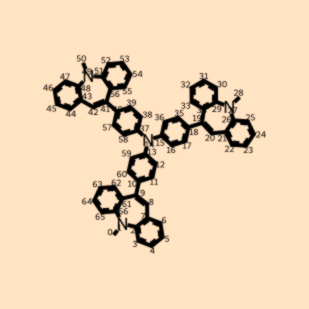 CN1c2ccccc2C=C(c2ccc(N(c3ccc(C4=Cc5ccccc5N(C)c5ccccc54)cc3)c3ccc(C4=Cc5ccccc5N(C)c5ccccc54)cc3)cc2)c2ccccc21